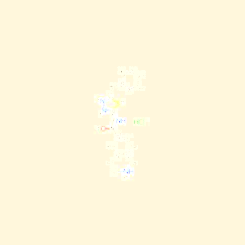 Cl.O=C(Nc1nnc(Cc2ccccc2)s1)c1ccc2c(c1)CCNC2